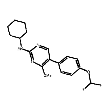 COc1nc(NC2CCCCC2)ncc1-c1ccc(OC(F)F)cc1